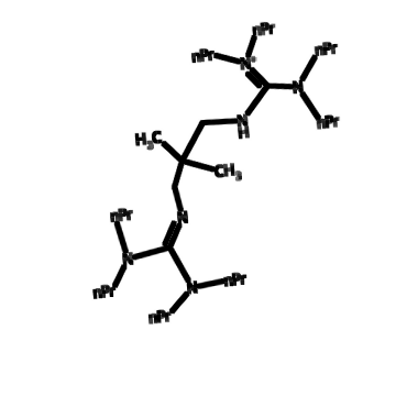 CCCN(CCC)C(=NCC(C)(C)CNC(N(CCC)CCC)=[N+](CCC)CCC)N(CCC)CCC